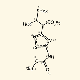 CCCCCCC(O)C(C(=O)OCC)c1nsc(NC(=O)OC(C)(C)C)n1